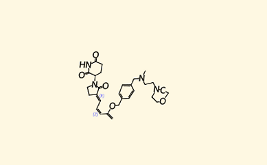 C=C(/C=C\C=C1/CCN(C2CCC(=O)NC2=O)C1=O)OCc1ccc(CN(C)CCN2CCOCC2)cc1